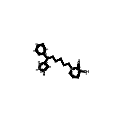 O=c1c(O)cccn1CCCCCC(c1ccccc1)c1c[nH]nn1